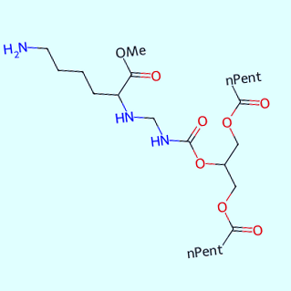 CCCCCC(=O)OCC(COC(=O)CCCCC)OC(=O)NCNC(CCCCN)C(=O)OC